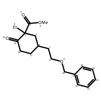 CCC1(C(=O)OC)CC(CCOCc2ccccc2)CCC1=O